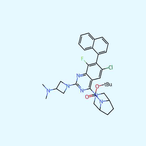 CN(C)C1CN(c2nc(N3CC4CCC(C3)N4C(=O)OC(C)(C)C)c3cc(Cl)c(-c4cccc5ccccc45)c(F)c3n2)C1